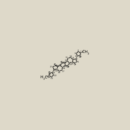 Cc1ccc(-c2csc3c2ccc2c3sc3c4ccc5c(-c6ccc(C)s6)csc5c4sc23)s1